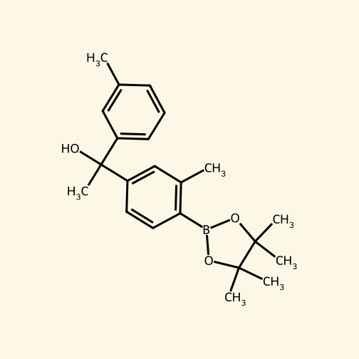 Cc1cccc(C(C)(O)c2ccc(B3OC(C)(C)C(C)(C)O3)c(C)c2)c1